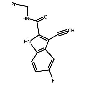 C#Cc1c(C(=O)NCC(C)C)[nH]c2ccc(F)cc12